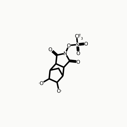 [O]C1C([O])C2CC1C1C(=O)N(OS(=O)(=O)C(F)(F)F)C(=O)C21